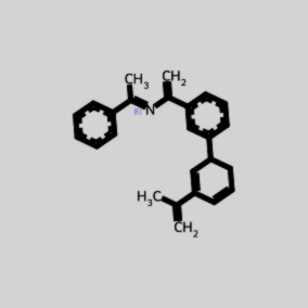 C=C(C)C1=CC(c2cccc(C(=C)/N=C(\C)c3ccccc3)c2)CC=C1